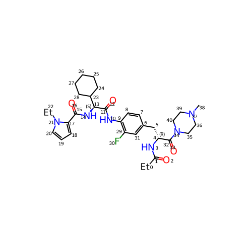 CCC(=O)N[C@H](Cc1ccc(NC(=O)[C@@H](NC(=O)c2cccn2CC)C2CCCCC2)c(F)c1)C(=O)N1CCN(C)CC1